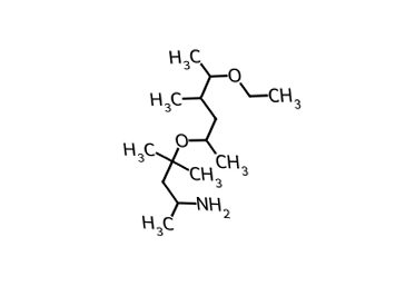 CCOC(C)C(C)CC(C)OC(C)(C)CC(C)N